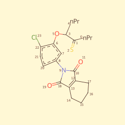 CCCC(=S)C(CCC)Oc1cc(N2C(=O)C3=C(CCCC3)C2=O)ccc1Cl